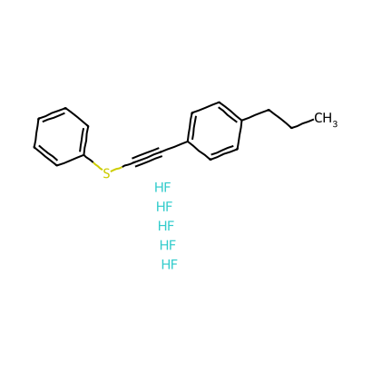 CCCc1ccc(C#CSc2ccccc2)cc1.F.F.F.F.F